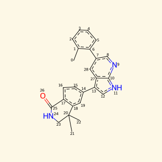 Cc1ccccc1-c1cnc2[nH]cc(-c3ccc4c(c3)C(C)(C)CNC4=O)c2c1